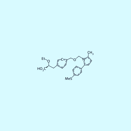 CCO[C@@H](Cc1ccc(COCn2c(C)ccc2-c2ccc(SC)cc2)cc1)C(=O)O